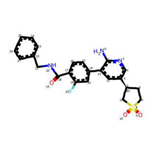 Nc1ncc([C@H]2CCS(=O)(=O)C2)cc1-c1ccc(C(=O)NCc2ccccc2)c(F)c1